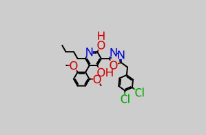 CCCCc1nc(O)c(-c2nnc(Cc3ccc(Cl)c(Cl)c3)o2)c(O)c1-c1c(OC)cccc1OC